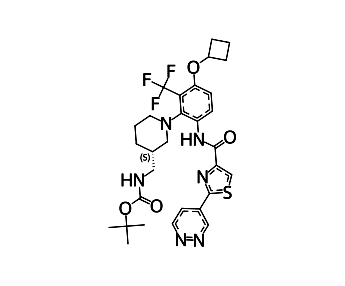 CC(C)(C)OC(=O)NC[C@@H]1CCCN(c2c(NC(=O)c3csc(-c4ccnnc4)n3)ccc(OC3CCC3)c2C(F)(F)F)C1